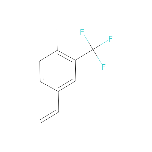 C=Cc1ccc(C)c(C(F)(F)F)c1